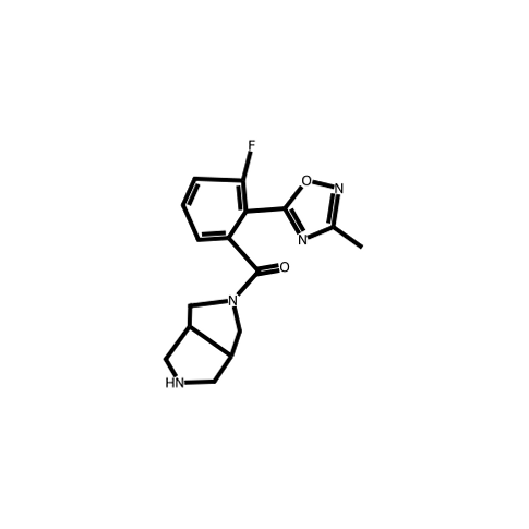 Cc1noc(-c2c(F)cccc2C(=O)N2CC3CNCC3C2)n1